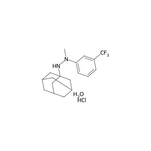 CN(NC12CC3CC(CC(C3)C1)C2)c1cccc(C(F)(F)F)c1.Cl.O